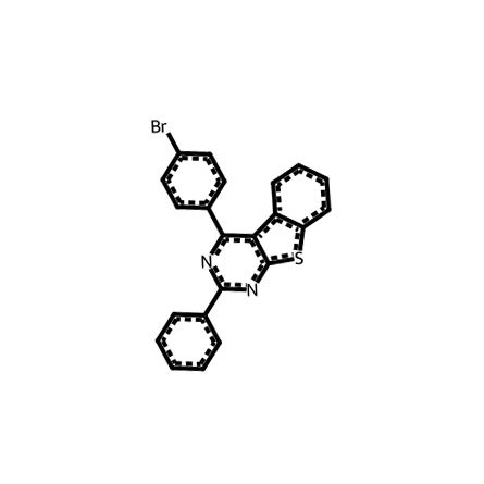 Brc1ccc(-c2nc(-c3ccccc3)nc3sc4ccccc4c23)cc1